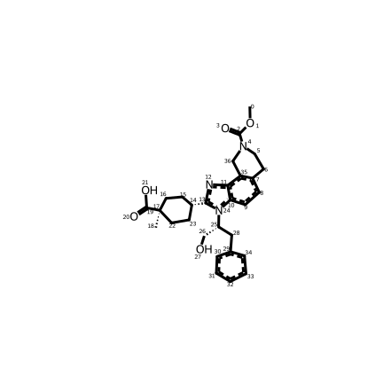 COC(=O)N1CCc2ccc3c(nc([C@H]4CC[C@](C)(C(=O)O)CC4)n3[C@@H](CO)Cc3ccccc3)c2C1